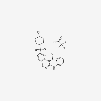 CCN1CCN(S(=O)(=O)c2ccc(Cl)c(-n3c(=O)[nH]c4ccccc4c3=O)c2)CC1.O=C(O)C(F)(F)F